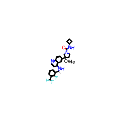 CO[C@@]1(c2ccc3nccc(N[C@H](C)c4cccc(C(F)F)c4F)c3c2)CCN(C(=O)NC2CCC2)C1